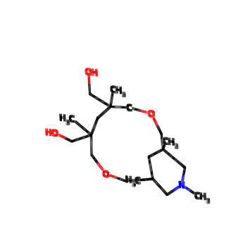 CN1CC2(C)COCC(C)(CO)CC(C)(CO)COCC(C)(C1)C2